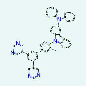 Cc1cc(-c2cc(-c3cncnc3)cc(-c3cncnc3)c2)ccc1-n1c2ccccc2c2cc(N(c3ccccc3)c3ccccc3)ccc21